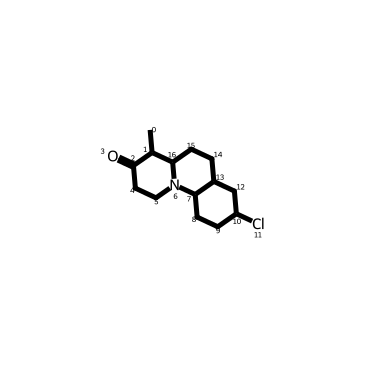 CC1C(=O)CCN2C3CCC(Cl)CC3CCC12